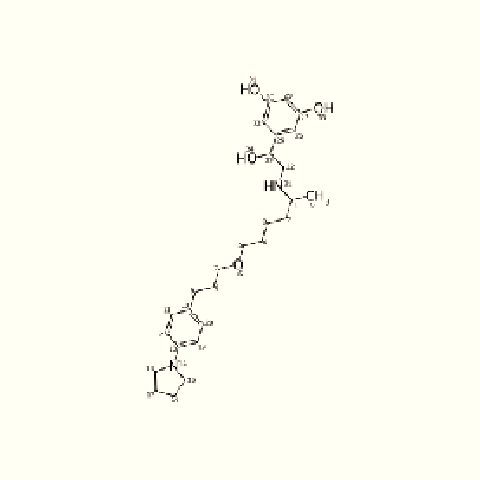 CC(CCCCOCCCc1ccc(N2CCCC2)cc1)NCC(O)c1cc(O)cc(O)c1